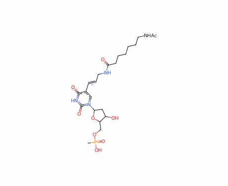 CC(=O)NCCCCCCC(=O)NC/C=C/c1cn(C2CC(O)C(COP(C)(=O)O)O2)c(=O)[nH]c1=O